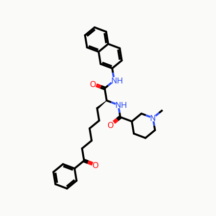 CN1CCCC(C(=O)N[C@@H](CCCCCC(=O)c2ccccc2)C(=O)Nc2ccc3ccccc3c2)C1